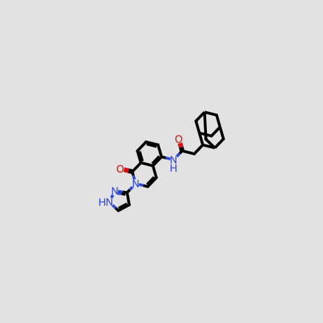 O=C(CC1C2CC3CC(C2)CC1C3)Nc1cccc2c(=O)n(-c3cc[nH]n3)ccc12